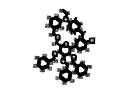 CCOc1ccc(Cc2cc(C3O[C@H](COCc4ccccc4)[C@@H](OCc4ccccc4)[C@H](OCc4ccccc4)[C@H]3OCc3ccccc3)ccc2Cl)nn1